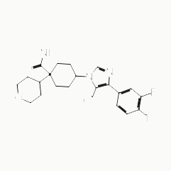 NC(=O)C1(C2CCOCC2)CCC(n2cnc(-c3ccc(F)c(F)c3)c2Cl)CC1